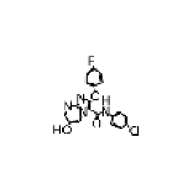 O=C(Nc1ccc(Cl)cc1)c1c(Oc2ccc(F)cc2)nc2ncc(O)cn12